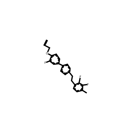 C=CCOc1ccc(-c2ccc(CCc3ccc(C)c(F)c3F)cc2)cc1F